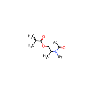 C=C(C)C(=O)OCC(C)N(C(=O)C(C)=O)C(C)C